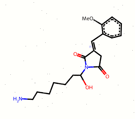 COc1ccccc1/C=C1\CC(=O)N(C(O)CCCCCCN)C1=O